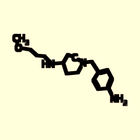 COCCCNC1CCN(Cc2ccc(N)cc2)CC1